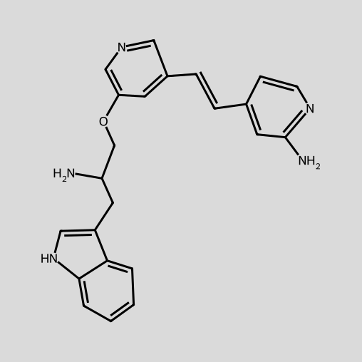 Nc1cc(C=Cc2cncc(OCC(N)Cc3c[nH]c4ccccc34)c2)ccn1